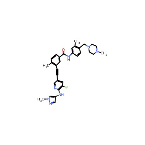 Cc1ccc(C(=O)Nc2ccc(CN3CCN(C)CC3)c(C(F)(F)F)c2)cc1C#Cc1cnc(Nc2cnn(C)c2)c(F)c1